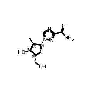 C[C@@H]1[C@H](O)[C@@H](CO)O[C@H]1n1cnc(C(N)=O)n1